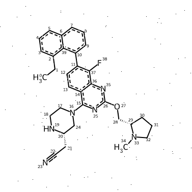 CCc1cccc2cccc(-c3ccc4c(N5CCN[C@@H](CC#N)C5)nc(OC[C@@H]5CCCN5C)nc4c3F)c12